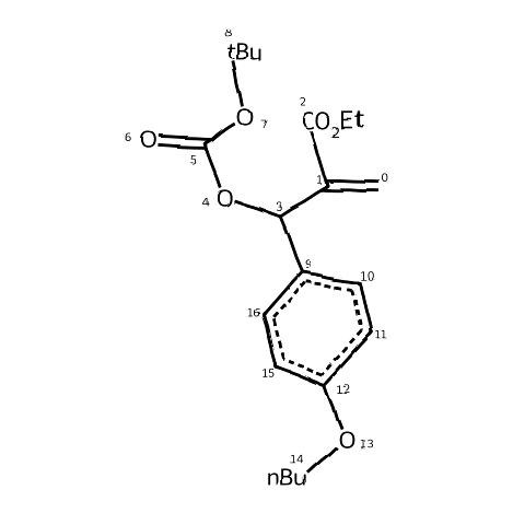 C=C(C(=O)OCC)C(OC(=O)OC(C)(C)C)c1ccc(OCCCC)cc1